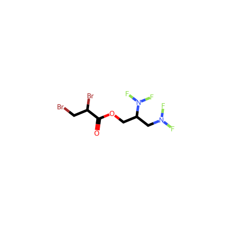 O=C(OCC(CN(F)F)N(F)F)C(Br)CBr